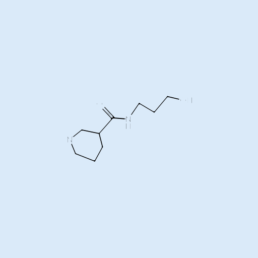 O=C(NCCCO)C1CCC[N]C1